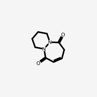 O=C1C=CCC(=O)N2CCCCN12